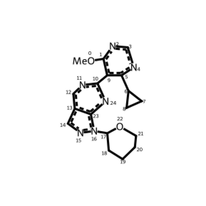 COc1ncnc(C2CC2)c1-c1ncc2cnn(C3CCCCO3)c2n1